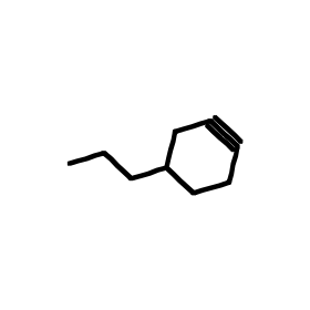 CCCC1CC#CCC1